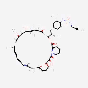 C#CCNS(=O)(=O)N[C@H]1CC[C@@H](C[C@@H](C)[C@@H]2CC(=O)[C@H](C)/C=C(\C)[C@@H](O)[C@@H](OC)C(=O)[C@H](C)C[C@H](C)/C=C/C=C/C=C(\C)[C@@H](OC)C[C@@H]3CC[C@@H](C)[C@@](O)(O3)C(=O)C(=O)N3CCCC[C@H]3C(=O)O2)C[C@H]1OC